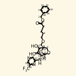 O=C(CCCCOC[C@@]12CO[C@@H](O1)[C@H](Nc1cncc(C(F)(F)F)n1)[C@@H](O)[C@H]2O)OCc1ccccc1